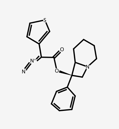 [N-]=[N+]=C(C(=O)O[C@]1(c2ccccc2)CN2CCCCC21)c1ccsc1